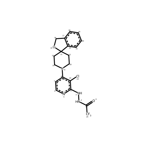 O=C(NNc1nccc(N2CCC3(CC2)OCc2ccccc23)c1Cl)C(F)(F)F